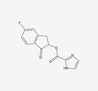 O=C(OC1Cc2cc(F)ccc2C1=O)c1ncc[nH]1